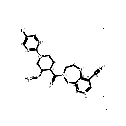 COC1CN(c2ncc(F)cn2)CCC1C(=O)N1CCOc2c(C#N)cncc2C1